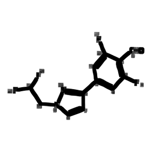 O=Cc1c(F)cc(-c2ccn(CC(F)F)n2)cc1F